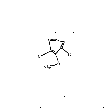 [CH2]Oc1c(Cl)cccc1Cl